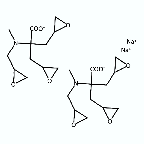 CN(CC1CO1)C(CC1CO1)(CC1CO1)C(=O)[O-].CN(CC1CO1)C(CC1CO1)(CC1CO1)C(=O)[O-].[Na+].[Na+]